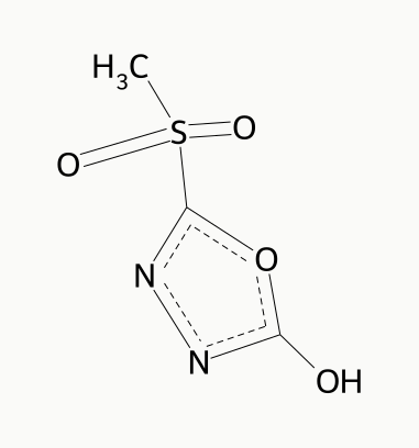 CS(=O)(=O)c1nnc(O)o1